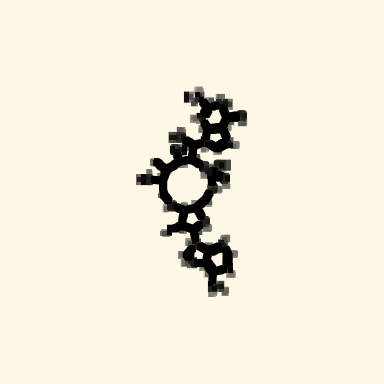 CC1C(O)COC2C(COP(=O)(O)OC(C(O)n3cnc4c(=O)[nH]c(N)nc43)C1O)OC(n1cnc3c(N)ncnc31)C2F